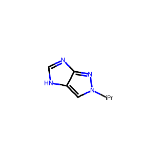 CC(C)n1cc2[nH]cnc2n1